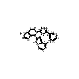 Clc1cccn2nc([C@@H]3c4nc[nH]c4CCN3c3nnc(-c4cccnc4)o3)cc12